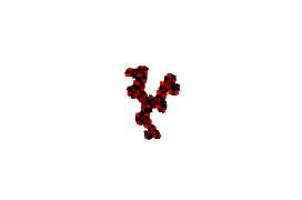 c1ccc(N(c2ccc(-c3ccc4c5ccccc5n(-c5ccccc5)c4c3)cc2)c2ccc(-c3nc(-c4ccc(N(c5ccccc5)c5ccc(-c6ccc7c8ccccc8n(-c8ccccc8)c7c6)cc5)cc4)nc(-c4ccc(N(c5ccccc5)c5ccc(-c6ccc7c8ccccc8n(-c8ccccc8)c7c6)cc5)cc4)n3)cc2)cc1